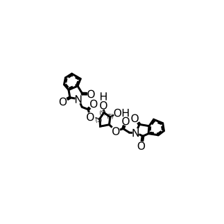 O=C(CN1C(=O)c2ccccc2C1=O)OC1C[C@H](OC(=O)CN2C(=O)c3ccccc3C2=O)[C@@H](O)[C@H]1O